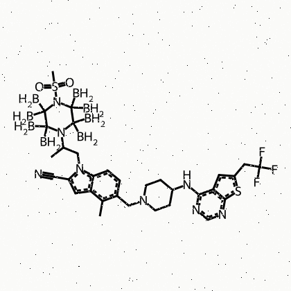 BC1(B)N(C(C)Cn2c(C#N)cc3c(C)c(CN4CCC(Nc5ncnc6sc(CC(F)(F)F)cc56)CC4)ccc32)C(B)(B)C(B)(B)N(S(C)(=O)=O)C1(B)B